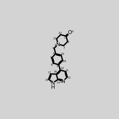 O=C1CCN(Cc2ccc(-c3ccnc4[nH]ccc34)cc2)CC1